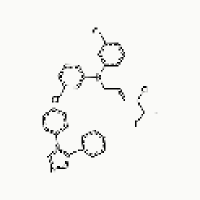 CC(F)C(Cl)C=CCB(c1cccc(Cl)c1)c1cccc(Cl)c1.c1ccc(-c2cncn2-c2ccccc2)cc1